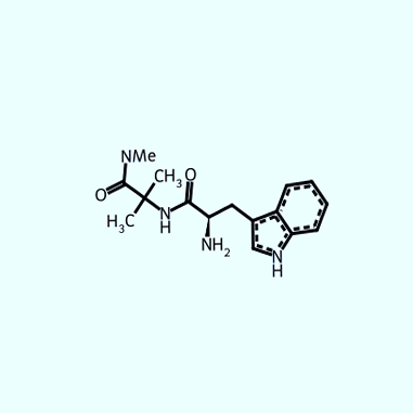 CNC(=O)C(C)(C)NC(=O)[C@H](N)Cc1c[nH]c2ccccc12